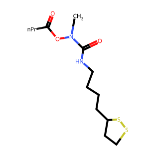 CCCC(=O)ON(C)C(=O)NCCCCC1CCSS1